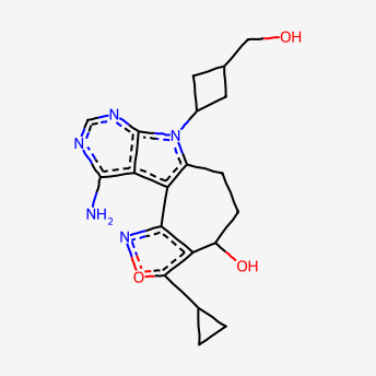 Nc1ncnc2c1c1c(n2C2CC(CO)C2)CCC(O)c2c-1noc2C1CC1